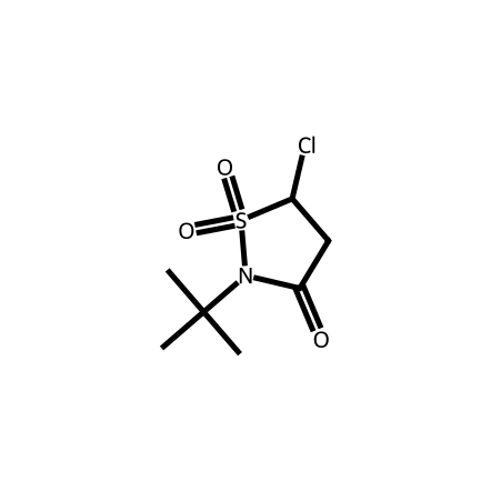 CC(C)(C)N1C(=O)CC(Cl)S1(=O)=O